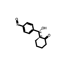 O=Nc1ccc([C@H](O)[C@@H]2CCCCC2=O)cc1